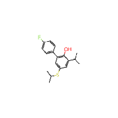 CC(C)Sc1cc(-c2ccc(F)cc2)c(O)c(C(C)C)c1